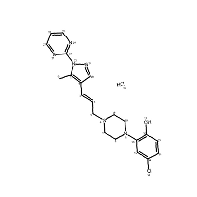 Cc1c(C=CCN2CCN(c3cc(Cl)ccc3O)CC2)cnn1-c1ncccn1.Cl